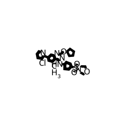 Cc1cc(-c2ncccc2Cl)cc2nc(OC3CCCC3)nc(Nc3ccc(S(=O)(=O)N4CCOCC4)cc3)c12